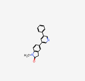 CN1C(=O)Cc2cc(-c3cncc(-c4ccccc4)c3)ccc21